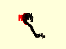 CCCCCC=CCC=CCCCCCCCC(=O)CCC(O)OC(C)=O